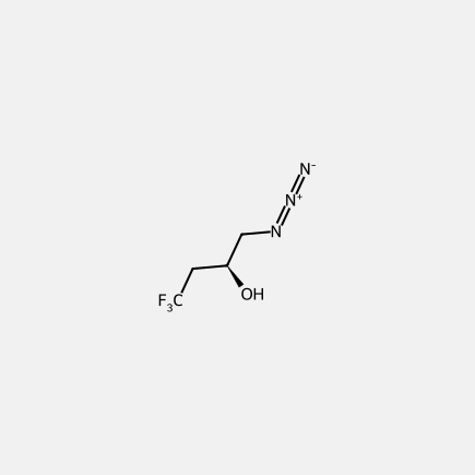 [N-]=[N+]=NC[C@@H](O)CC(F)(F)F